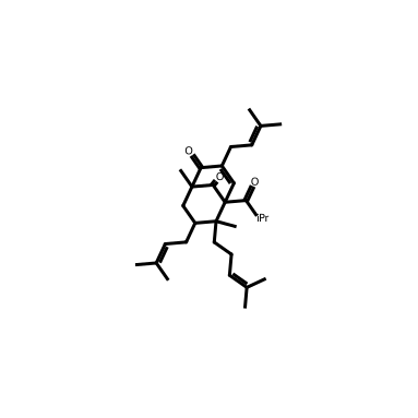 CC(C)=CCCC1(C)C(CC=C(C)C)CC2(C)C(=O)C(CC=C(C)C)=CC1(C(=O)C(C)C)C2=O